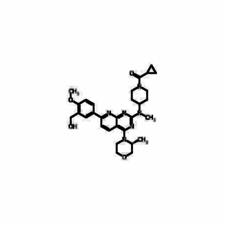 COc1ccc(-c2ccc3c(N4CCOC[C@@H]4C)nc(N(C)C4CCN(C(=O)C5CC5)CC4)nc3n2)cc1CO